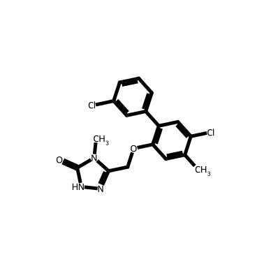 Cc1cc(OCc2n[nH]c(=O)n2C)c(-c2cccc(Cl)c2)cc1Cl